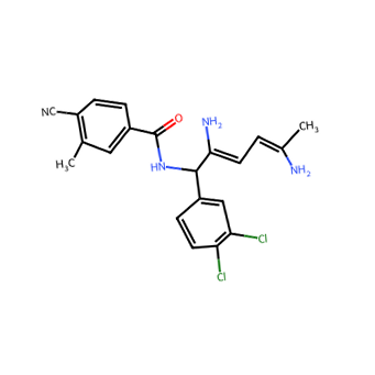 C/C(N)=C/C=C(\N)C(NC(=O)c1ccc(C#N)c(C)c1)c1ccc(Cl)c(Cl)c1